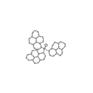 O=P(c1ccc2ccc3cccc4ccc1c2c34)(c1ccc2ccc3cccc4ccc1c2c34)c1ccc2ccc3cccc4ccc1c2c34